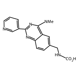 CNc1nc(-c2cccnc2)nc2ccc(CNC(=O)O)cc12